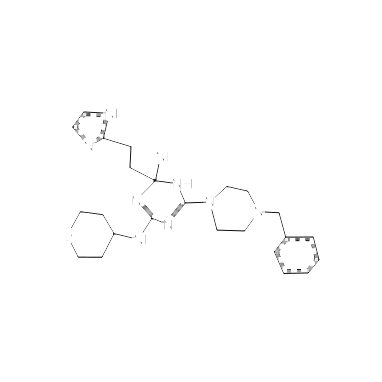 NC1(CCc2ncc[nH]2)N=C(NC2CCOCC2)N=C(N2CCN(Cc3ccccc3)CC2)N1